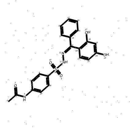 CC(=O)Nc1ccc(S(=O)(=O)NN=C(c2ccccc2)c2ccc(O)cc2O)cc1